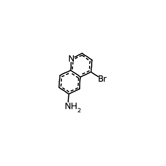 Nc1ccc2nccc(Br)c2c1